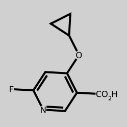 O=C(O)c1cnc(F)cc1OC1CC1